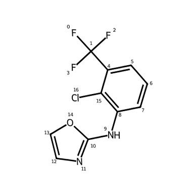 FC(F)(F)c1cccc(Nc2ncco2)c1Cl